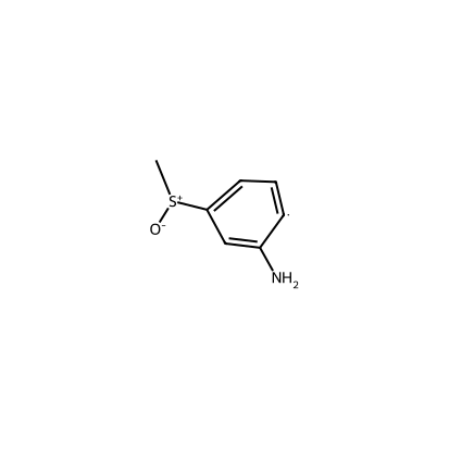 C[S+]([O-])c1cc[c]c(N)c1